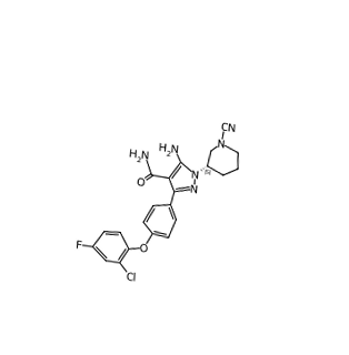 N#CN1CCC[C@H](n2nc(-c3ccc(Oc4ccc(F)cc4Cl)cc3)c(C(N)=O)c2N)C1